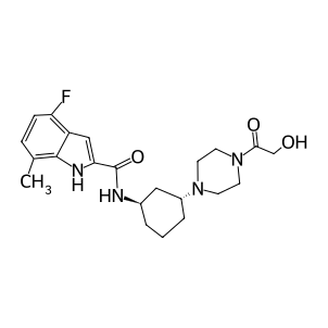 Cc1ccc(F)c2cc(C(=O)N[C@@H]3CCC[C@@H](N4CCN(C(=O)CO)CC4)C3)[nH]c12